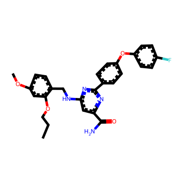 CCCOc1cc(OC)ccc1CNc1cc(C(N)=O)nc(-c2ccc(Oc3ccc(F)cc3)cc2)n1